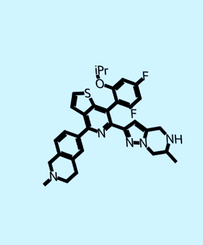 CC1Cn2nc(-c3nc(-c4ccc5c(c4)CCN(C)C5)c4ccsc4c3-c3c(F)cc(F)cc3OC(C)C)cc2CN1